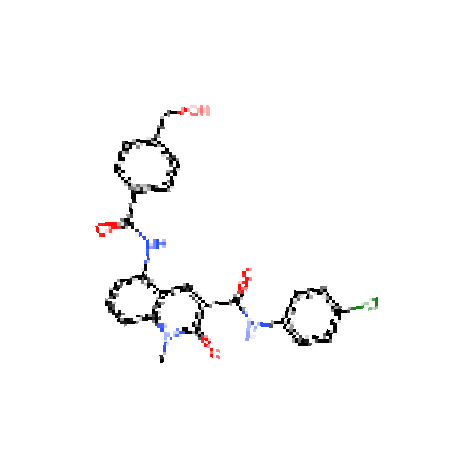 Cn1c(=O)c(C(=O)Nc2ccc(Cl)cc2)cc2c(NC(=O)c3ccc(CO)cc3)cccc21